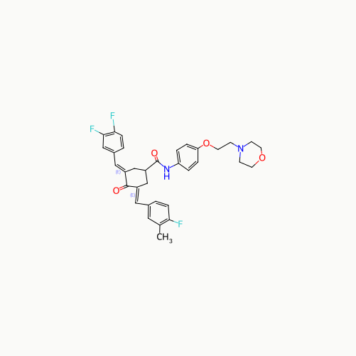 Cc1cc(/C=C2\CC(C(=O)Nc3ccc(OCCN4CCOCC4)cc3)C/C(=C\c3ccc(F)c(F)c3)C2=O)ccc1F